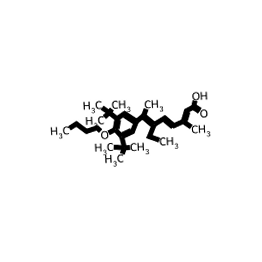 CCCCOc1c(C(C)(C)C)cc(/C(C)=C(/C=CC(C)=CC(=O)O)CC)cc1C(C)(C)C